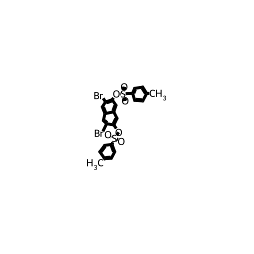 Cc1ccc(S(=O)(=O)Oc2cc3cc(OS(=O)(=O)c4ccc(C)cc4)c(Br)cc3cc2Br)cc1